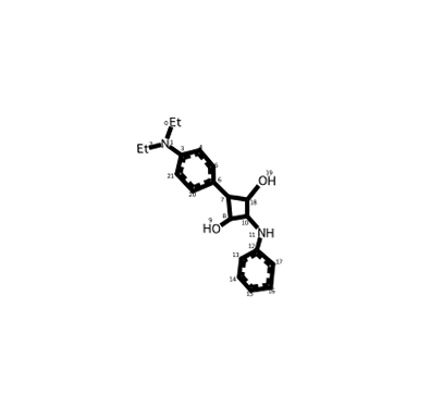 CCN(CC)c1ccc(C2C(O)C(Nc3ccccc3)C2O)cc1